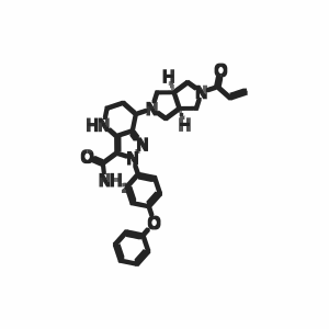 C=CC(=O)N1C[C@@H]2CN(C3CCNc4c3nn(-c3ccc(Oc5ccccc5)cc3)c4C(N)=O)C[C@@H]2C1